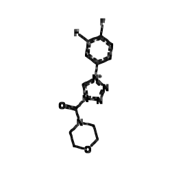 O=C(N1CCOCC1)n1c[n+](-c2ccc(F)c(F)c2)nn1